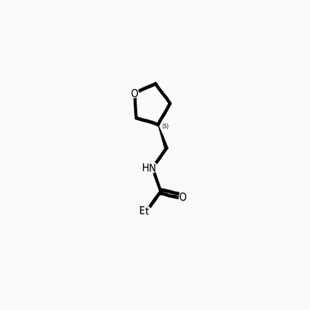 CCC(=O)NC[C@@H]1CCOC1